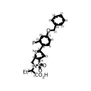 CCC(C(=O)O)N1Cc2sc(-c3ccc(OCc4ccccc4)cc3F)cc2S1(=O)=O